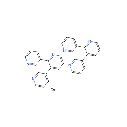 [Co].c1cncc(-c2cccnc2-c2cccnc2)c1.c1cncc(-c2cccnc2-c2cccnc2)c1